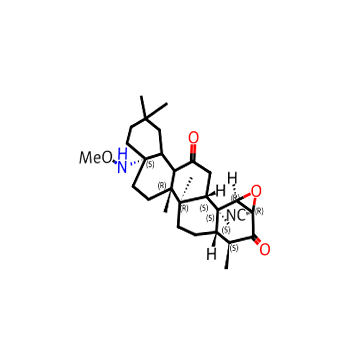 CON[C@]12CCC(C)(C)CC1C1C(=O)C[C@@H]3[C@@]4(C)[C@H]5O[C@@]5(C#N)C(=O)[C@@H](C)[C@@H]4CC[C@@]3(C)[C@]1(C)CC2